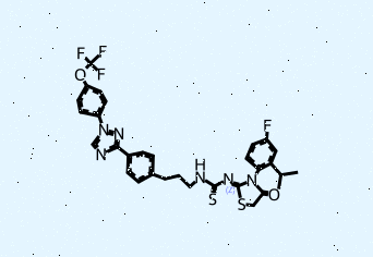 CC(C)c1cc(F)ccc1N1C(=O)CS/C1=N\C(=S)NCCCc1ccc(-c2ncn(-c3ccc(OC(F)(F)F)cc3)n2)cc1